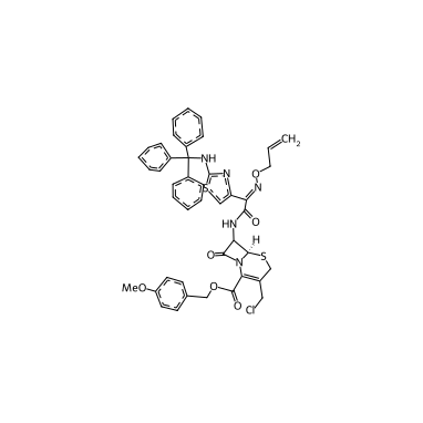 C=CCO/N=C(/C(=O)NC1C(=O)N2C(C(=O)OCc3ccc(OC)cc3)=C(CCl)CS[C@H]12)c1csc(NC(c2ccccc2)(c2ccccc2)c2ccccc2)n1